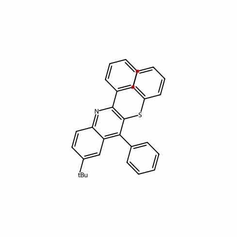 CC(C)(C)c1ccc2nc(-c3ccccc3)c(Sc3ccccc3)c(-c3ccccc3)c2c1